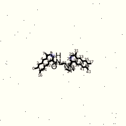 CCCCCCC(C)/C=C\C(CCCCCC)C(=O)NCCN1CCN=C1C(/C=C\C(C)CCCCCC)CCCCCC